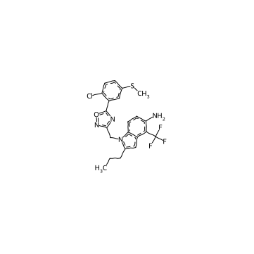 CCCc1cc2c(C(F)(F)F)c(N)ccc2n1Cc1noc(-c2cc(SC)ccc2Cl)n1